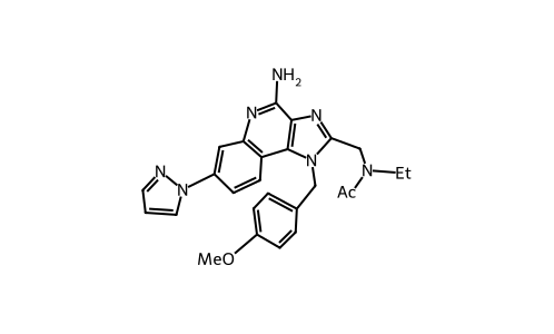 CCN(Cc1nc2c(N)nc3cc(-n4cccn4)ccc3c2n1Cc1ccc(OC)cc1)C(C)=O